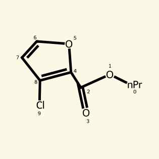 CCCOC(=O)c1occc1Cl